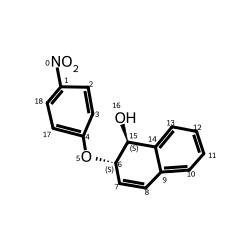 O=[N+]([O-])c1ccc(O[C@H]2C=Cc3ccccc3[C@@H]2O)cc1